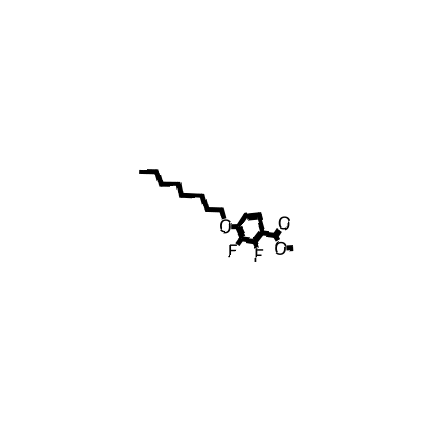 CCCCCCCCOc1ccc(C(=O)OC)c(F)c1F